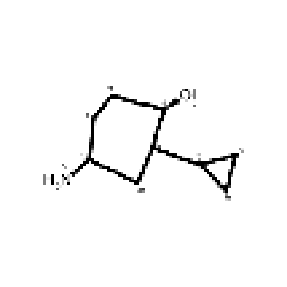 NC1CC[C@@H](O)C(C2CC2)C1